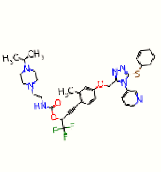 Cc1cc(OCc2nnc(SC3C=CCCC3)n2-c2cccnc2)ccc1C#CC(OC(=O)NCCN1CCN(C(C)C)CC1)C(F)(F)F